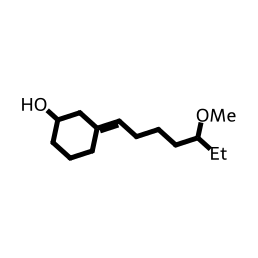 CCC(CCCC=C1CCCC(O)C1)OC